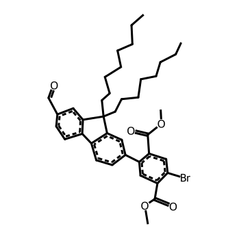 CCCCCCCCC1(CCCCCCCC)c2cc(C=O)ccc2-c2ccc(-c3cc(C(=O)OC)c(Br)cc3C(=O)OC)cc21